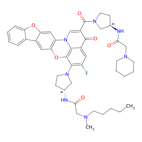 CCCCCN(C)CC(=O)N[C@@H]1CCN(c2c(F)cc3c(=O)c(C(=O)N4CC[C@@H](NC(=O)CN5CCCCC5)C4)cn4c3c2Oc2cc3c(cc2-4)oc2ccccc23)C1